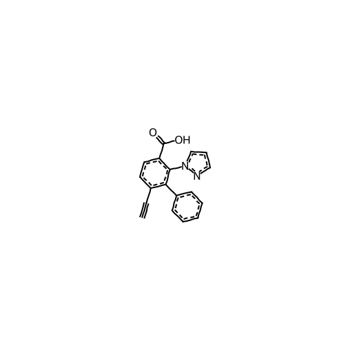 C#Cc1ccc(C(=O)O)c(-n2cccn2)c1-c1ccccc1